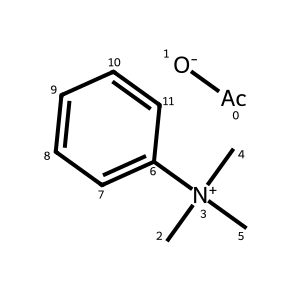 CC(=O)[O-].C[N+](C)(C)c1ccccc1